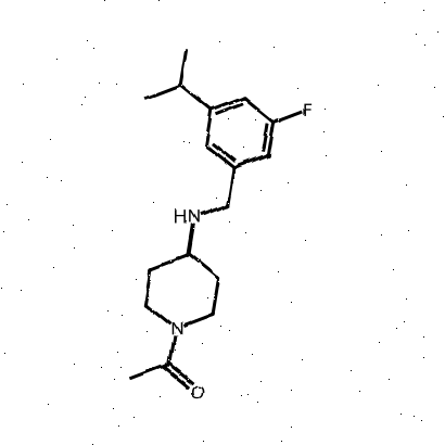 CC(=O)N1CCC(NCc2cc(F)cc(C(C)C)c2)CC1